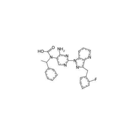 CC(c1ccccc1)N(C(=O)O)c1cnc(-n2nc(Cc3ccccc3F)c3ncccc32)nc1N